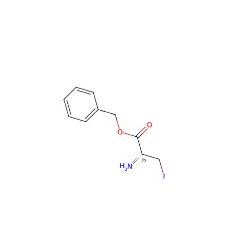 N[C@@H](CI)C(=O)OCc1ccccc1